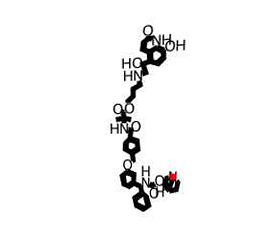 CC(C)(NC(=O)c1ccc(COc2cccc(C(NC(=O)O[C@H]3CN4CCC3CC4)c3ccccc3)c2)cc1)C(=O)OCCCCNC[C@H](O)c1ccc(O)c2[nH]c(=O)ccc12